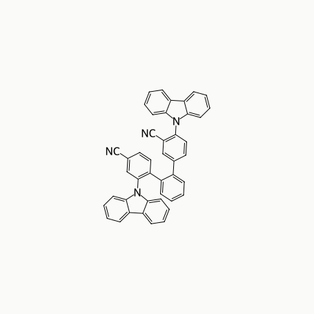 N#Cc1ccc(-c2ccccc2-c2ccc(-n3c4ccccc4c4ccccc43)c(C#N)c2)c(-n2c3ccccc3c3ccccc32)c1